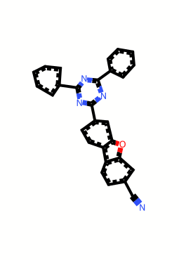 N#Cc1ccc2c(c1)oc1cc(-c3nc(-c4ccccc4)nc(-c4ccccc4)n3)ccc12